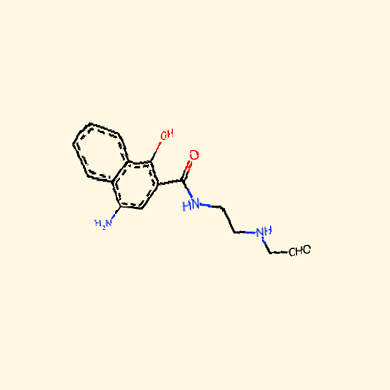 Nc1cc(C(=O)NCCNCC=O)c(O)c2ccccc12